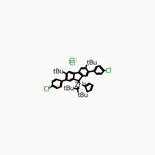 CC(C)(C)[C](=[Zr+2]([C]1=CC=CC1)[CH]1c2cc(-c3ccc(Cl)cc3)c(C(C)(C)C)cc2-c2cc(C(C)(C)C)c(-c3ccc(Cl)cc3)cc21)C(C)(C)C.[Cl-].[Cl-]